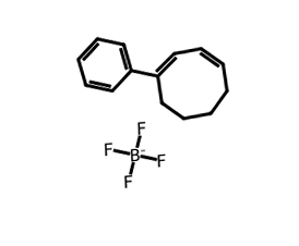 C1=CCCCCC(c2ccccc2)=C1.F[B-](F)(F)F